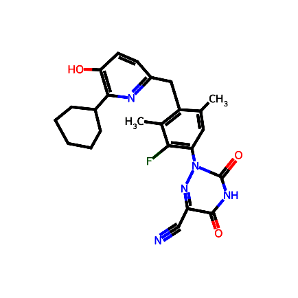 Cc1cc(-n2nc(C#N)c(=O)[nH]c2=O)c(F)c(C)c1Cc1ccc(O)c(C2CCCCC2)n1